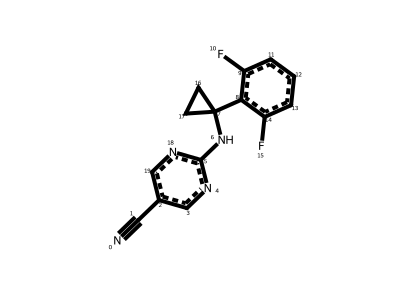 N#Cc1cnc(NC2(c3c(F)cccc3F)CC2)nc1